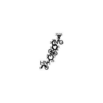 C=CC(=O)NCC1CCN(S(=O)(=O)c2ccc3c(c2)CCN3C(=O)C2CC2)CC1